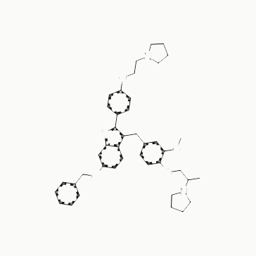 COc1cc(Cc2c(-c3ccc(OCCN4CCCC4)cc3)sc3cc(OCc4ccccc4)ccc23)ccc1OCC(C)N1CCCC1